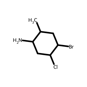 CC1CC(Br)C(Cl)CC1N